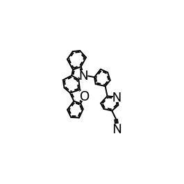 N#Cc1ccc(-c2cccc(-n3c4ccccc4c4ccc5c6ccccc6oc5c43)c2)nc1